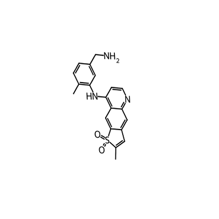 CC1=Cc2cc3nccc(Nc4cc(CN)ccc4C)c3cc2S1(=O)=O